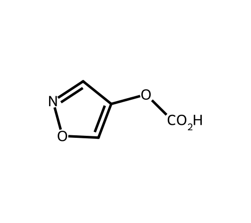 O=C(O)Oc1cnoc1